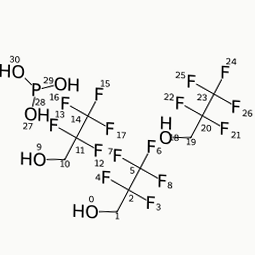 OCC(F)(F)C(F)(F)F.OCC(F)(F)C(F)(F)F.OCC(F)(F)C(F)(F)F.OP(O)O